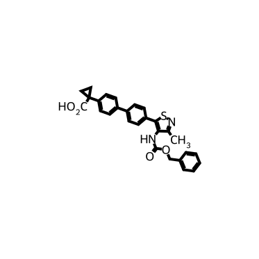 Cc1nsc(-c2ccc(-c3ccc(C4(C(=O)O)CC4)cc3)cc2)c1NC(=O)OCc1ccccc1